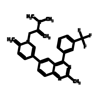 C=C(CN1C=C(c2ccc3nc(C)nc(-c4cccc(C(F)(F)F)c4)c3c2)C=CC1=C)N(C)C